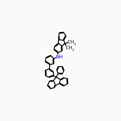 CC1(C)c2ccccc2-c2ccc(Nc3cccc(-c4cccc(C5(c6ccccc6)c6ccccc6-c6ccccc65)c4)c3)cc21